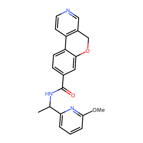 COc1cccc(C(C)NC(=O)c2ccc3c(c2)OCc2cnccc2-3)n1